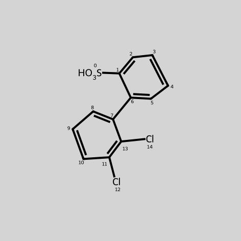 O=S(=O)(O)c1ccccc1-c1cccc(Cl)c1Cl